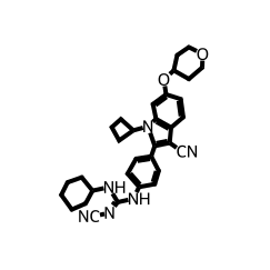 N#C/N=C(/Nc1ccc(-c2c(C#N)c3ccc(OC4CCOCC4)cc3n2C2CCC2)cc1)NC1CCCCC1